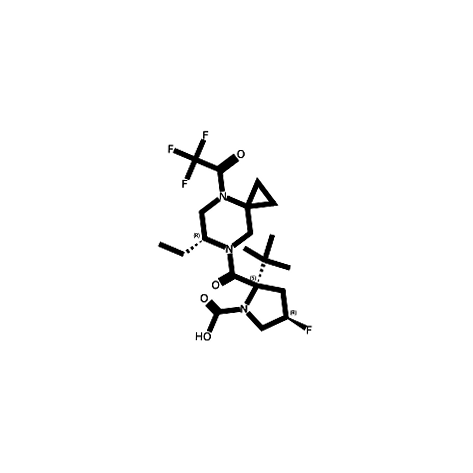 CC[C@@H]1CN(C(=O)C(F)(F)F)C2(CC2)CN1C(=O)[C@@]1(C(C)(C)C)C[C@@H](F)CN1C(=O)O